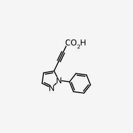 O=C(O)C#Cc1ccnn1-c1ccccc1